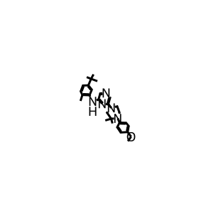 COc1ccc(N2CCN(c3cncc(Nc4cc(C(C)(C)C)ccc4C)n3)CC2(C)C)cc1